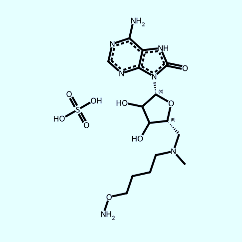 CN(CCCCON)C[C@H]1O[C@@H](n2c(=O)[nH]c3c(N)ncnc32)C(O)C1O.O=S(=O)(O)O